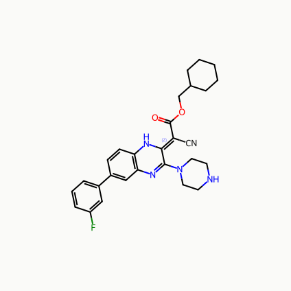 N#C/C(C(=O)OCC1CCCCC1)=C1/Nc2ccc(-c3cccc(F)c3)cc2N=C1N1CCNCC1